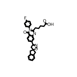 O=C(O)CCCCc1nc2cc(C3=NOC4(C3)Cc3ccccc3C4)ccc2c(=O)n1-c1ccc(F)cc1